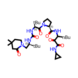 CCCCC(NC(=O)[C@@H]1CCCN1C(=O)[C@@H](NC(=O)N[C@H](CN1CCC(C)(C)CC1=O)C(C)(C)C)C(C)(C)C)C(=O)C(=O)NC1CC1